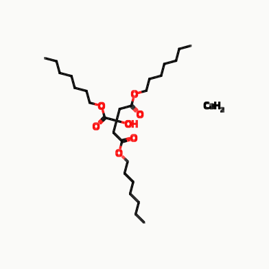 CCCCCCCOC(=O)CC(O)(CC(=O)OCCCCCCC)C(=O)OCCCCCCC.[CaH2]